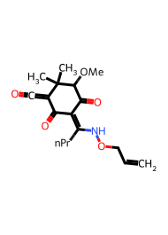 C=CCONC(CCC)=C1C(=O)C(=C=O)C(C)(C)C(OC)C1=O